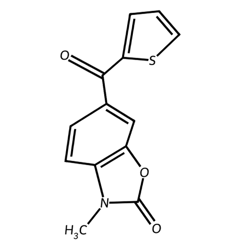 Cn1c(=O)oc2cc(C(=O)c3cccs3)ccc21